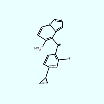 O=C(O)c1ccn2cncc2c1Nc1ccc(C2CC2)cc1F